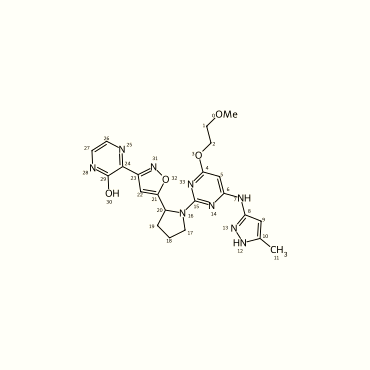 COCCOc1cc(Nc2cc(C)[nH]n2)nc(N2CCCC2c2cc(-c3nccnc3O)no2)n1